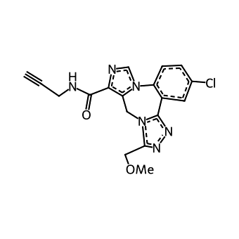 C#CCNC(=O)c1ncn2c1Cn1c(COC)nnc1-c1cc(Cl)ccc1-2